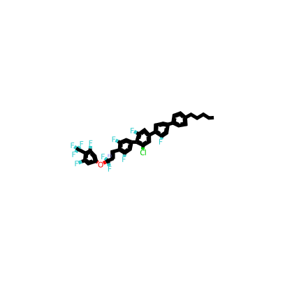 CCCCCc1ccc(-c2ccc(-c3cc(F)c(-c4cc(F)c(/C=C/C(F)(F)Oc5cc(F)c(C(F)(F)F)c(F)c5)c(F)c4)c(Cl)c3)c(F)c2)cc1